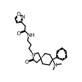 CN(C)[C@]1(c2ccccc2)CC[C@@]2(CC1)CC(=O)N(CCCNC(=O)Cc1ccon1)C2